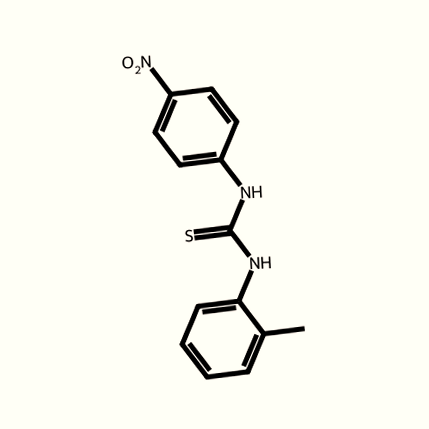 Cc1ccccc1NC(=S)Nc1ccc([N+](=O)[O-])cc1